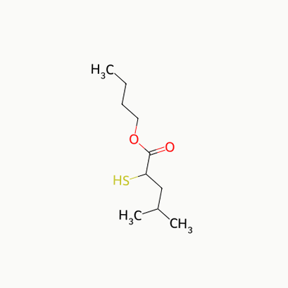 CCCCOC(=O)C(S)CC(C)C